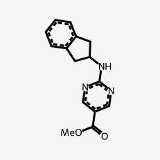 COC(=O)c1cnc(NC2Cc3ccccc3C2)nc1